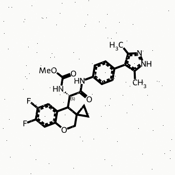 COC(=O)N[C@H](C(=O)Nc1ccc(-c2c(C)n[nH]c2C)cc1)C1c2cc(F)c(F)cc2OCC12CC2